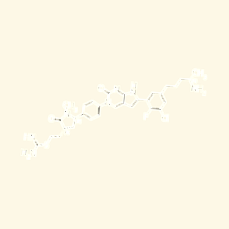 C[C@H](N)CCCc1cc(Cl)c(F)c(-c2cc3cn(-c4ccc([C@H]5C[C@H](CCSC(=N)N)C(=O)N5C)cc4)c(=O)nc3[nH]2)c1